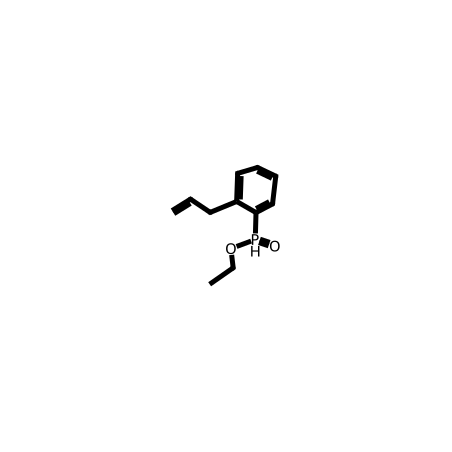 C=CCc1ccccc1[PH](=O)OCC